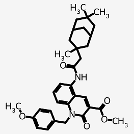 COC(=O)c1cc2c(NC(=O)CC3(C)CC4CC(CC(C)(C)C4)C3)cccc2n(Cc2ccc(OC)cc2)c1=O